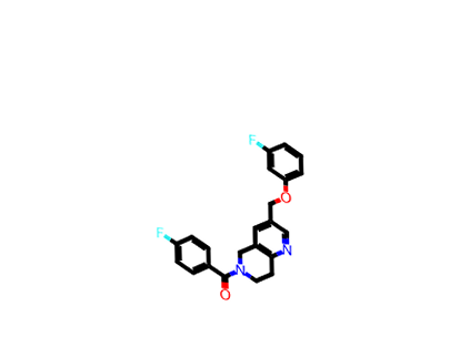 O=C(c1ccc(F)cc1)N1CCc2ncc(COc3cccc(F)c3)cc2C1